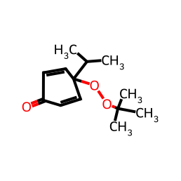 CC(C)C1(OOC(C)(C)C)C=CC(=O)C=C1